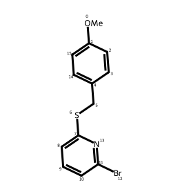 COc1ccc(CSc2cccc(Br)n2)cc1